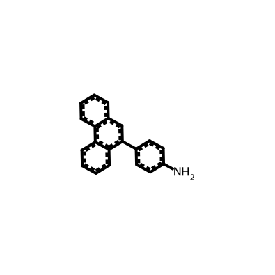 Nc1ccc(-c2cc3ccccc3c3ccccc23)cc1